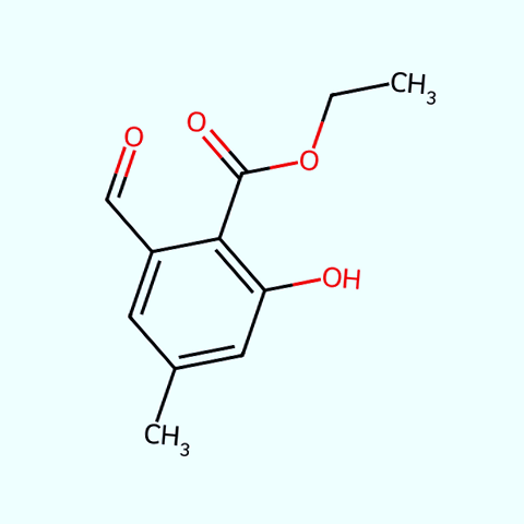 CCOC(=O)c1c(O)cc(C)cc1C=O